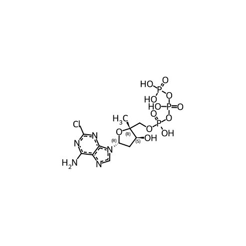 C[C@]1(COP(=O)(O)OP(=O)(O)OP(=O)(O)O)O[C@@H](n2cnc3c(N)nc(Cl)nc32)C[C@@H]1O